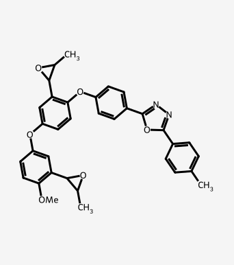 COc1ccc(Oc2ccc(Oc3ccc(-c4nnc(-c5ccc(C)cc5)o4)cc3)c(C3OC3C)c2)cc1C1OC1C